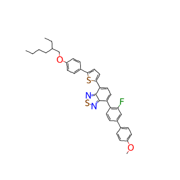 CCCCC(CC)COc1ccc(-c2ccc(-c3ccc(-c4ccc(-c5ccc(OC)cc5)cc4F)c4nsnc34)s2)cc1